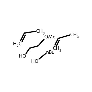 C=CC.C=CC.CCCCO.COCCO